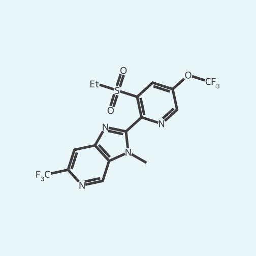 CCS(=O)(=O)c1cc(OC(F)(F)F)cnc1-c1nc2cc(C(F)(F)F)ncc2n1C